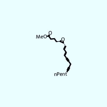 CCCCCC#CCC#CC=CC=C[C@H]1O[C@@H]1CCCC(=O)OC